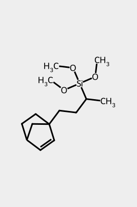 CO[Si](OC)(OC)C(C)CCC12C=CC(CC1)C2